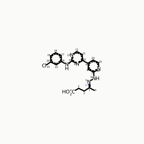 C/C(CCC(=O)O)=N\Nc1cc(-c2ccnc(Nc3cccc(Cl)c3)n2)ccn1